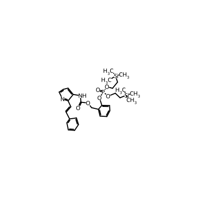 C[Si](C)(C)CCOP(=O)(OCC[Si](C)(C)C)Oc1ccccc1COC(=O)Nc1cccnc1C=Cc1ccccc1